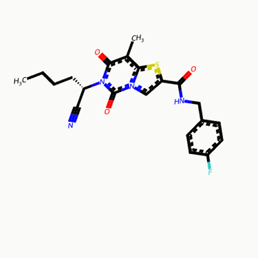 CCCC[C@@H](C#N)n1c(=O)c(C)c2sc(C(=O)NCc3ccc(F)cc3)cn2c1=O